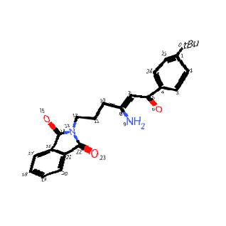 CC(C)(C)c1ccc(C(=O)/C=C(\N)CCCN2C(=O)c3ccccc3C2=O)cc1